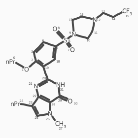 CCCOc1ccc(S(=O)(=O)N2CCN(CCC(F)(F)F)CC2)cc1-c1nc2c(CCC)cn(C)c2c(=O)[nH]1